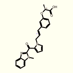 C[C@H](Oc1cccc(/C=C/Cn2cccc2C(=O)c2nc3ccccc3n2C)c1)C(=O)O